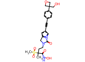 CC(CCN1Cc2cc(C#Cc3ccc(C4(CO)COC4)cc3)cn2C1=O)(C(=O)NO)S(C)(=O)=O